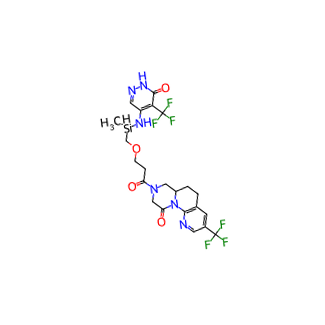 C[Si@@H](COCCC(=O)N1CC(=O)N2c3ncc(C(F)(F)F)cc3CCC2C1)Nc1cn[nH]c(=O)c1C(F)(F)F